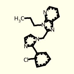 CCCn1c(Cn2ccnc2-c2ccccc2Cl)nc2cccnc21